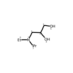 CCN(CC(O)CO)C(C)C